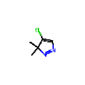 CC1(C)N=N[C]=C1Cl